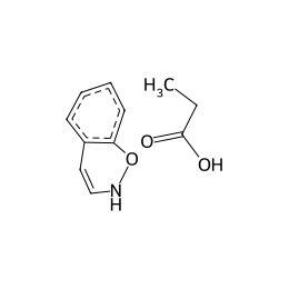 C1=Cc2ccccc2ON1.CCC(=O)O